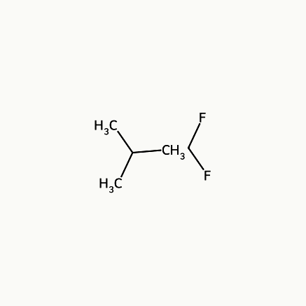 CC(C)C.FCF